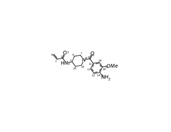 C=CC(=O)NC1CCN(C(=O)c2ccc(N)c(OC)c2)CC1